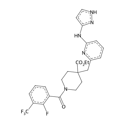 CCOC(=O)C1(Cc2cccc(Nc3cc[nH]n3)n2)CCN(C(=O)c2cccc(C(F)(F)F)c2F)CC1